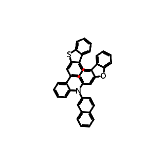 c1ccc(N(c2ccc3ccccc3c2)c2ccc3c(c2)oc2ccccc23)c(-c2ccc3c(c2)sc2ccccc23)c1